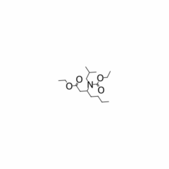 CCCCC(CC(=O)OCC)N(CC(C)C)C(=O)OCC